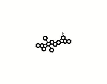 Fc1cc2c3c(cc4ccccc4c3c1)-c1cc3ccc4c(ccc5c(-c6ccccc6)c6c(c(-c7ccccc7)c54)-c4cccc5c4c-6cc4ccccc45)c3cc1-2